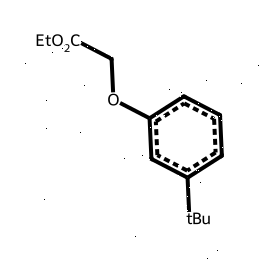 CCOC(=O)COc1cccc(C(C)(C)C)c1